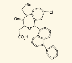 CC(C)(C)CN1C(=O)C(CC(=O)O)OC(c2cccc3c(-c4ccccc4)cccc23)c2cc(Cl)ccc21